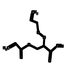 C=CCOOC(COC(=O)C=C)C(=O)OCC(C)C